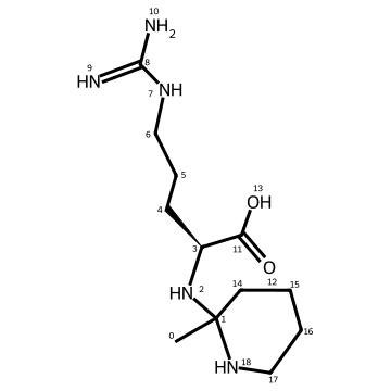 CC1(N[C@@H](CCCNC(=N)N)C(=O)O)CCCCN1